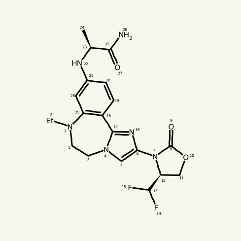 CCN1CCn2cc(N3C(=O)OC[C@H]3C(F)F)nc2-c2ccc(N[C@@H](C)C(N)=O)cc21